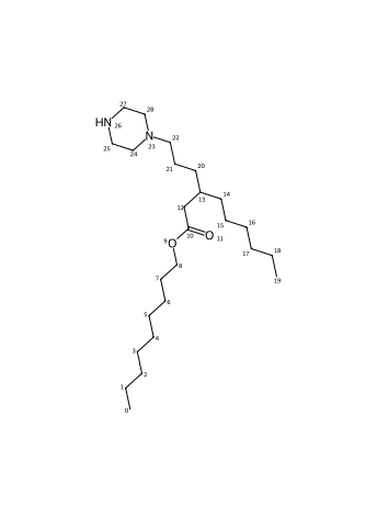 CCCCCCCCCOC(=O)CC(CCCCCC)CCCN1CCNCC1